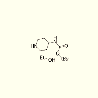 CC(C)(C)OC(=O)NC1CCNCC1.CCO